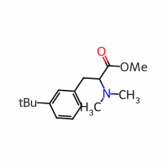 COC(=O)C(Cc1cccc(C(C)(C)C)c1)N(C)C